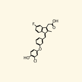 CC1=C(CC(=O)O)c2cc(F)ccc2/C1=C\c1cccc(Oc2ccc(O)c(Cl)c2)c1